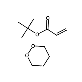 C1CCOOC1.C=CC(=O)OC(C)(C)C